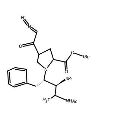 CCC[C@@H](C(C)NC(C)=O)[C@H](Cc1ccccc1)N1CC(C(=O)C=[N+]=[N-])CC1C(=O)OC(C)(C)C